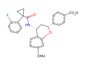 COc1ccc2c(c1)O[C@@H](c1ccc(C(=O)O)cc1)C[C@H]2NC(=O)C1(c2ccccc2F)CC1